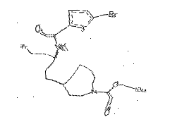 CC(C)CC(CC1CCN(C(=O)OC(C)(C)C)CC1)NC(=O)c1ccc(Br)s1